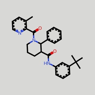 Cc1cccnc1C(=O)N1CCCC(C(=O)Nc2cccc(C(C)(C)C)c2)C1c1ccccc1